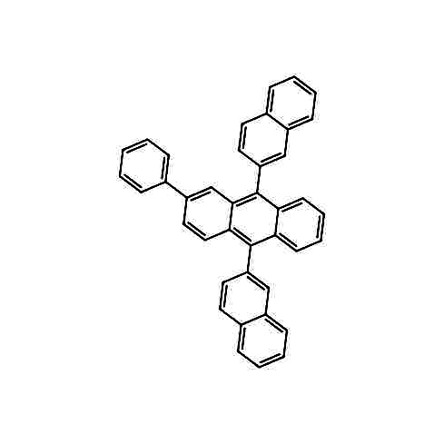 c1ccc(-c2ccc3c(-c4ccc5ccccc5c4)c4ccccc4c(-c4ccc5ccccc5c4)c3c2)cc1